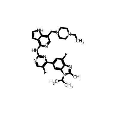 CCN1CCN(Cc2cnc(Nc3ncc(F)c(-c4cc(F)c5nc(C)n(C(C)C)c5c4)n3)c3cc[nH]c23)CC1